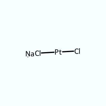 [Cl][Pt][Cl].[Na]